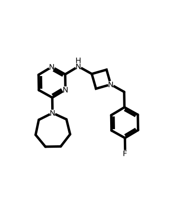 Fc1ccc(CN2CC(Nc3nccc(N4CCCCCC4)n3)C2)cc1